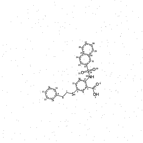 O=C(O)c1cc(SCCc2ccccc2)ccc1NS(=O)(=O)c1ccc2ccccc2c1